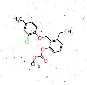 CCc1cccc(OC(=O)OC)c1COc1ccc(C)cc1Cl